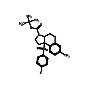 Cc1ccc2c(c1)CCC1N(C(=O)OC(C)(C)C)CCC21S(=O)(=O)c1ccc(F)cc1